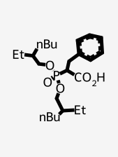 CCCCC(CC)COP(=O)(OCC(CC)CCCC)C(Cc1ccccc1)C(=O)O